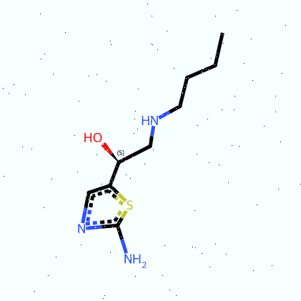 CCCCNC[C@H](O)c1cnc(N)s1